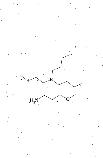 CCCCB(CCCC)CCCC.COCCCN